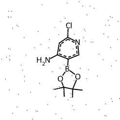 CC1(C)OB(c2cnc(Cl)cc2N)OC1(C)C